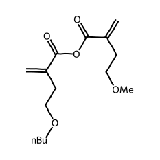 C=C(CCOC)C(=O)OC(=O)C(=C)CCOCCCC